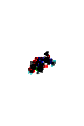 CCOc1c(C(N)=O)cc([C@@](O)(CNC(=O)c2cc(OC3CC3)c3nn(C(F)F)cc3c2)c2ccc(F)cc2)nc1-c1ccc2c(c1Cl)OC(F)(F)O2